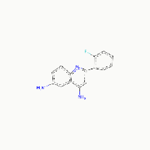 Nc1ccc2nc(-c3ccccc3F)cc(N)c2c1